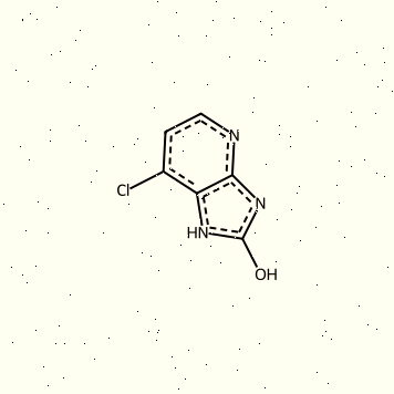 Oc1nc2nccc(Cl)c2[nH]1